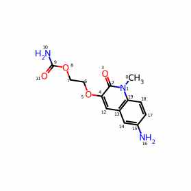 Cn1c(=O)c(OCCOC(N)=O)cc2cc(N)ccc21